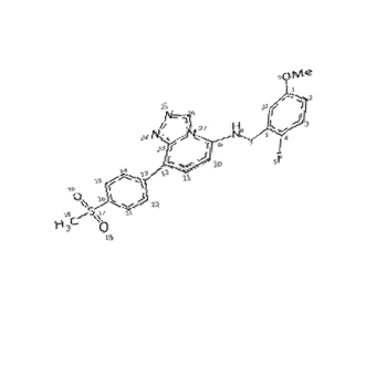 COc1ccc(F)c(CNc2ccc(-c3ccc(S(C)(=O)=O)cc3)c3nncn23)c1